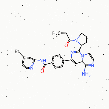 C=CC(=O)N1CCC[C@H]1C1=NC(c2ccc(C(=O)Nc3cc(CC)ccn3)cc2)=CC2C(N)=NC=CN12